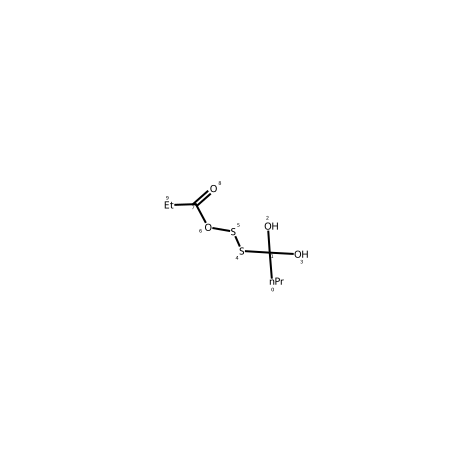 CCCC(O)(O)SSOC(=O)CC